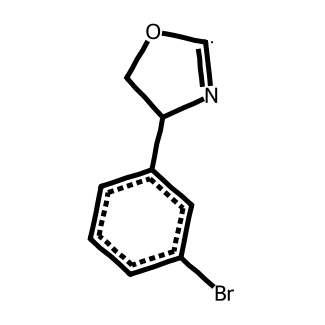 Brc1cccc(C2CO[C]=N2)c1